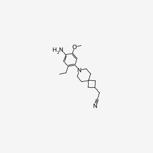 CCc1cc(N)c(OC)cc1N1CCC2(CC1)CC(CC#N)C2